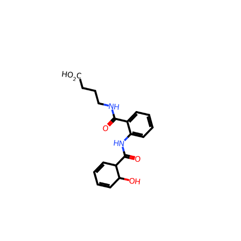 O=C(O)CCCNC(=O)c1ccccc1NC(=O)C1C=CC=CC1O